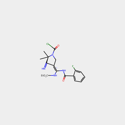 CCOC(=O)N/C(NC(=O)c1ccccc1F)=C1/CN(C(=O)Cl)C(C)(C)C1=N